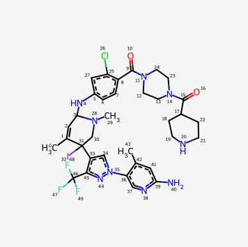 CC1=CC(Nc2ccc(C(=O)N3CCN(C(=O)C4CCNCC4)CC3)c(Cl)c2)N(C)CC1(I)c1cn(-c2cnc(N)cc2C)nc1C(F)(F)F